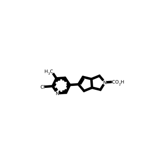 Cc1cc(C2=CC3CN(C(=O)O)CC3C2)cnc1Cl